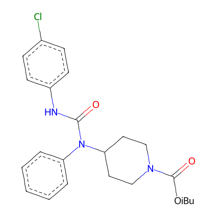 CC(C)COC(=O)N1CCC(N(C(=O)Nc2ccc(Cl)cc2)c2ccccc2)CC1